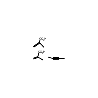 C=C(C)C(=O)O.C=C(C)C(=O)O.CC#CC